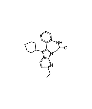 CCc1ccc2c(C3CCCCC3)c3n(c2n1)CC(=O)Nc1ccccc1-3